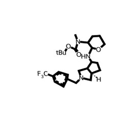 CN(C(=O)OC(C)(C)C)C1CCCOC1NC1CC[C@H]2CN(Cc3ccc(C(F)(F)F)cc3)CC12